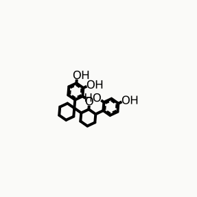 Oc1ccc(C2CCCC3C2Oc2c(ccc(O)c2O)C32CCCCC2)c(O)c1